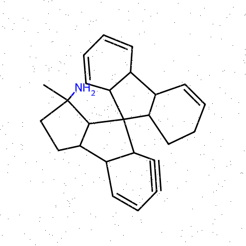 CC1(N)CCC2C3C=CC#CC3C3(C4C=CC=CC4C4C=CCCC43)C21